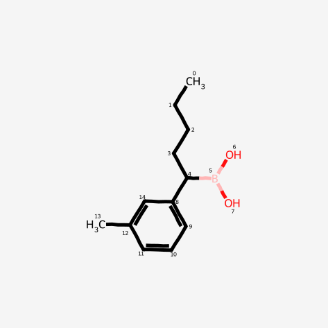 CCCCC(B(O)O)c1cccc(C)c1